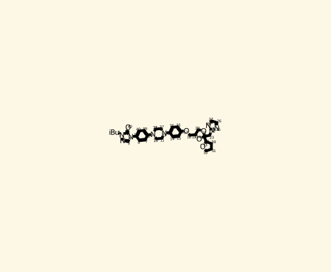 CCC(C)n1ncn(-c2ccc(N3CCN(c4ccc(OCC5COC(Cn6nccn6)(C6CCCO6)O5)cc4)CC3)cc2)c1=O